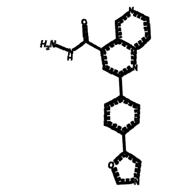 NNC(=O)c1cc(-c2ccc(-c3cnco3)cc2)nc2ccncc12